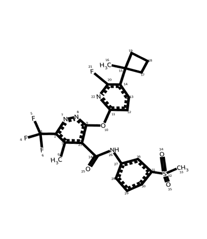 Cc1c(C(F)(F)F)nnc(Oc2ccc(C3(C)CCC3)c(F)n2)c1C(=O)Nc1cccc(S(C)(=O)=O)c1